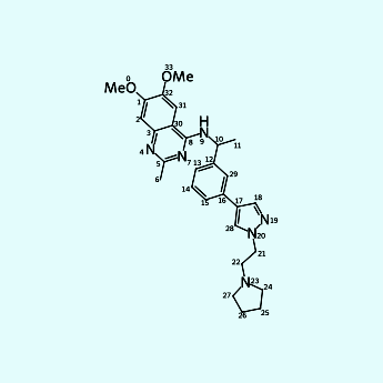 COc1cc2nc(C)nc(NC(C)c3cccc(-c4cnn(CCN5CCCC5)c4)c3)c2cc1OC